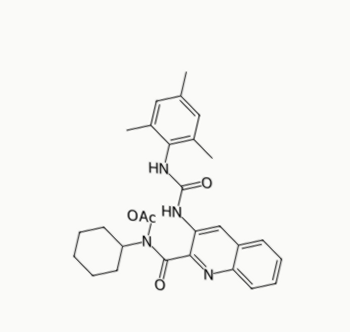 CC(=O)ON(C(=O)c1nc2ccccc2cc1NC(=O)Nc1c(C)cc(C)cc1C)C1CCCCC1